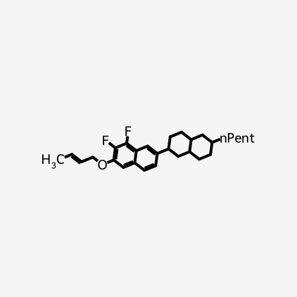 CC=CCOc1cc2ccc(C3CCC4CC(CCCCC)CCC4C3)cc2c(F)c1F